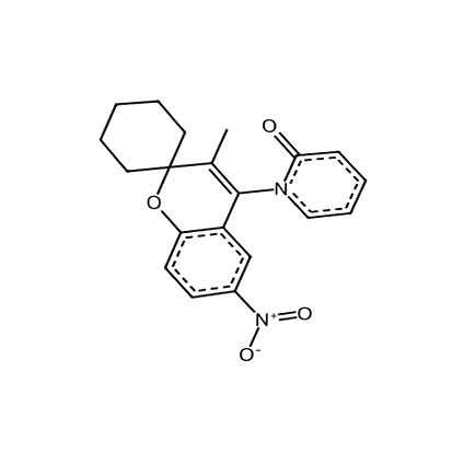 CC1=C(n2ccccc2=O)c2cc([N+](=O)[O-])ccc2OC12CCCCC2